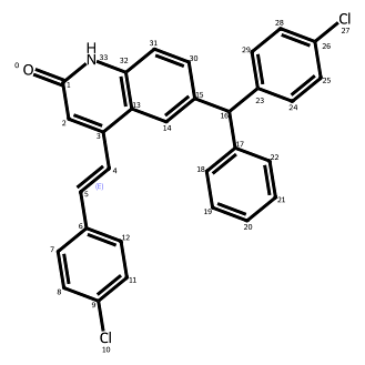 O=c1cc(/C=C/c2ccc(Cl)cc2)c2cc(C(c3ccccc3)c3ccc(Cl)cc3)ccc2[nH]1